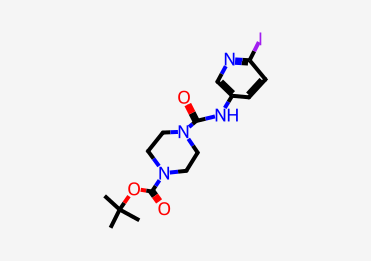 CC(C)(C)OC(=O)N1CCN(C(=O)Nc2ccc(I)nc2)CC1